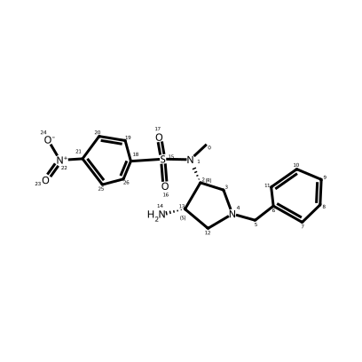 CN([C@@H]1CN(Cc2ccccc2)C[C@@H]1N)S(=O)(=O)c1ccc([N+](=O)[O-])cc1